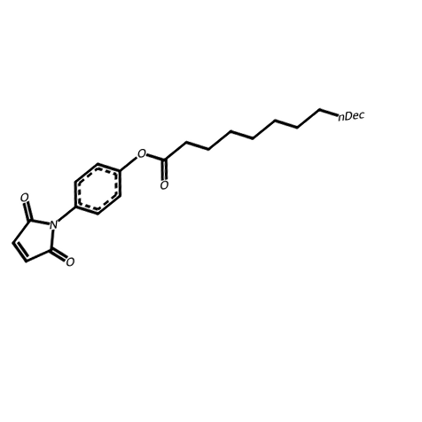 CCCCCCCCCCCCCCCCCC(=O)Oc1ccc(N2C(=O)C=CC2=O)cc1